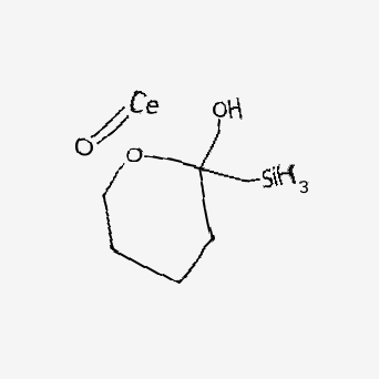 OC1([SiH3])CCCCO1.[O]=[Ce]